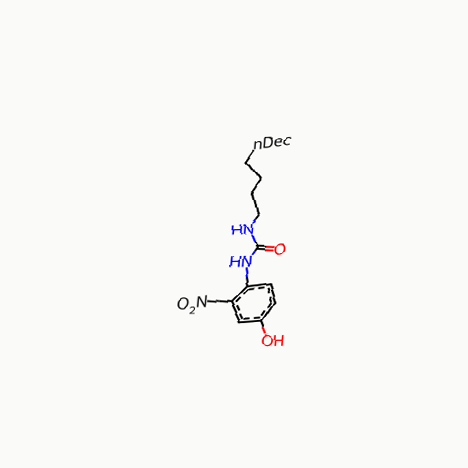 CCCCCCCCCCCCCCNC(=O)Nc1ccc(O)cc1[N+](=O)[O-]